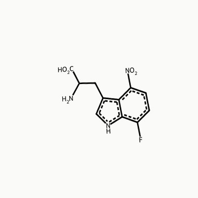 NC(Cc1c[nH]c2c(F)ccc([N+](=O)[O-])c12)C(=O)O